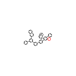 c1ccc(-c2cc(-c3cccc(-c4ccc5c(c4)C4(c6cc7c(cc6-5)oc5ccccc57)C5CC6CC(C5)CC4C6)c3)cc(-c3ccc4ccccc4c3)c2)cc1